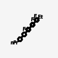 CCCC1CCC(C2CCC(c3ccc(-c4ccc(-c5ccc(CC)c(F)c5F)cc4)cc3F)CC2)CC1